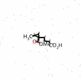 COC(=O)C1(CCCC(=O)O)CC1C